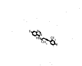 CC(CC#Cc1ccc(F)cc1C(F)(F)F)Nc1ncnc2cc(F)ccc12